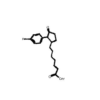 O=C(O)CCCCCCC1CCC(=O)C1c1ccc(F)cc1